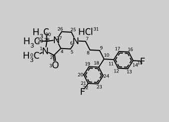 CN1C(=O)C2CN(CCCC(c3ccc(F)cc3)c3ccc(F)cc3)CCN2C1(C)C.Cl